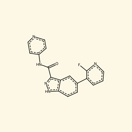 O=C(Nc1ccncc1)c1n[nH]c2ccc(-c3cccnc3F)cc12